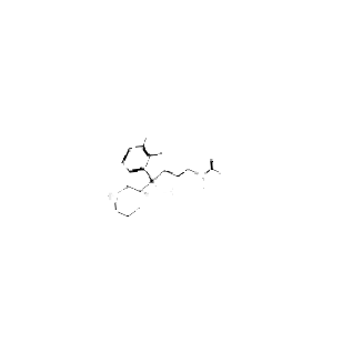 O=C(O)NCCC[C@@](O)(c1cccc(F)c1F)[C@@H]1CCCNC1